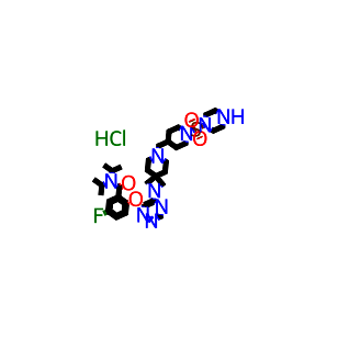 CC(C)N(C(=O)c1cc(F)ccc1Oc1nncnc1N1CC2(CCN(CC3CCN(S(=O)(=O)N4CCNCC4)CC3)CC2)C1)C(C)C.Cl